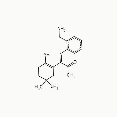 CC(=O)/C(=C\c1ccccc1CN)C1=C(S)CCC(C)(C)C1